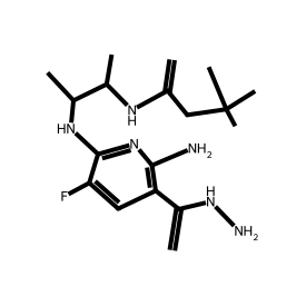 C=C(CC(C)(C)C)NC(C)C(C)Nc1nc(N)c(C(=C)NN)cc1F